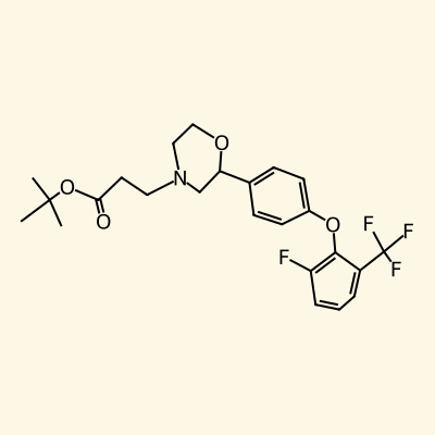 CC(C)(C)OC(=O)CCN1CCOC(c2ccc(Oc3c(F)cccc3C(F)(F)F)cc2)C1